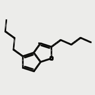 CCCCC1=[C]C2=C(CCCC)C=CC2O1